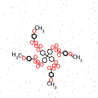 CCOc1ccc(C(=O)OOC(=O)OC2CCC(C(C3CCC(OC(=O)OOC(=O)c4ccc(OCC)cc4)CC3)(C3CCC(OC(=O)OOC(=O)c4ccc(OCC)cc4)CC3)C3CCC(OC(=O)OOC(=O)c4ccc(OCC)cc4)CC3)CC2)cc1